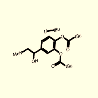 CNCC(O)c1ccc(OC(=O)C(C)(C)C)c(OC(=O)C(C)(C)C)c1.[Li][CH](C)CC